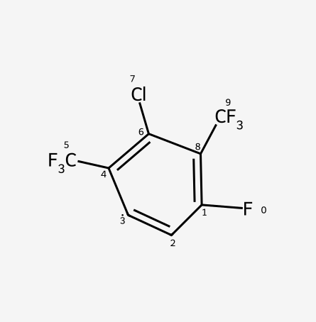 Fc1c[c]c(C(F)(F)F)c(Cl)c1C(F)(F)F